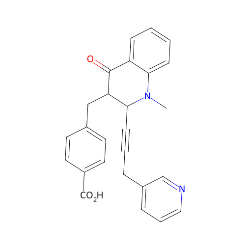 CN1c2ccccc2C(=O)C(Cc2ccc(C(=O)O)cc2)C1C#CCc1cccnc1